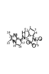 Cc1cccc(N2C(=O)COC2=O)c1CNc1cccn2c(C)c(C)nc12